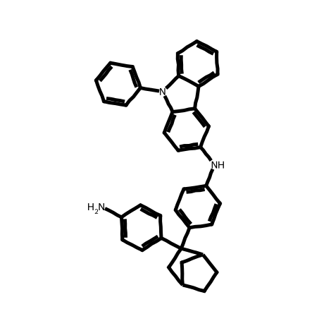 Nc1ccc(C2(c3ccc(Nc4ccc5c(c4)c4ccccc4n5-c4ccccc4)cc3)CC3CCC2C3)cc1